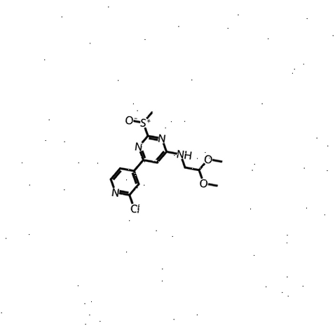 COC(CNc1cc(-c2ccnc(Cl)c2)nc([S+](C)[O-])n1)OC